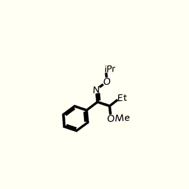 CCC(OC)C(=NOC(C)C)c1ccccc1